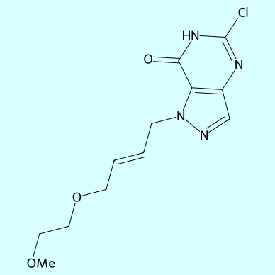 COCCOCC=CCn1ncc2nc(Cl)[nH]c(=O)c21